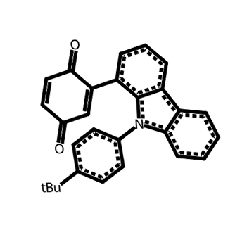 CC(C)(C)c1ccc(-n2c3ccccc3c3cccc(C4=CC(=O)C=CC4=O)c32)cc1